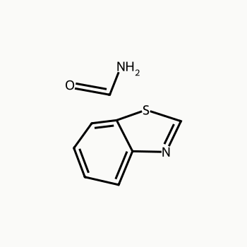 NC=O.c1ccc2scnc2c1